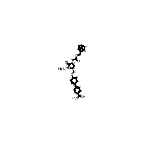 CC1(C)C2CCC(COC(=O)C[C@@H]3C[C@@H](COc4ccc(-c5ccc(C(=N)N)cc5)cc4)NC3=O)C1C2.Cl